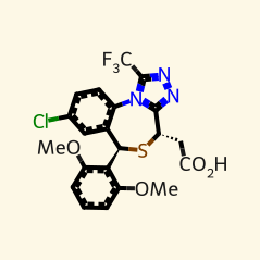 COc1cccc(OC)c1[C@@H]1S[C@@H](CC(=O)O)c2nnc(C(F)(F)F)n2-c2ccc(Cl)cc21